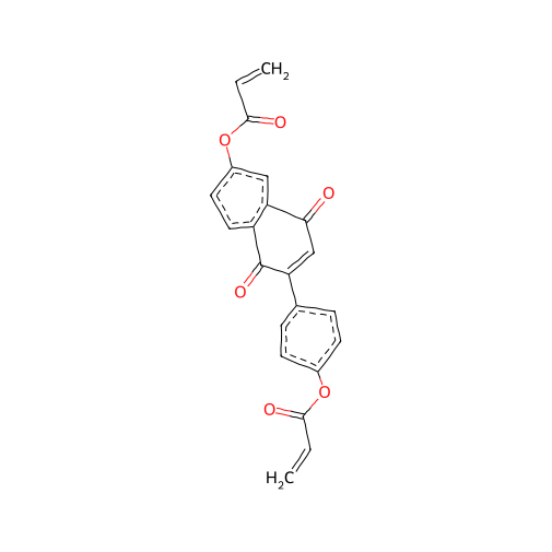 C=CC(=O)Oc1ccc(C2=CC(=O)c3cc(OC(=O)C=C)ccc3C2=O)cc1